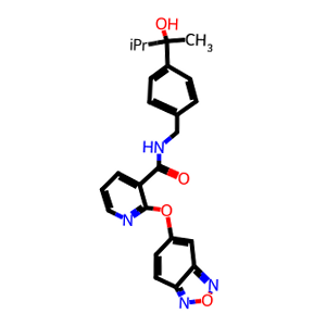 CC(C)C(C)(O)c1ccc(CNC(=O)c2cccnc2Oc2ccc3nonc3c2)cc1